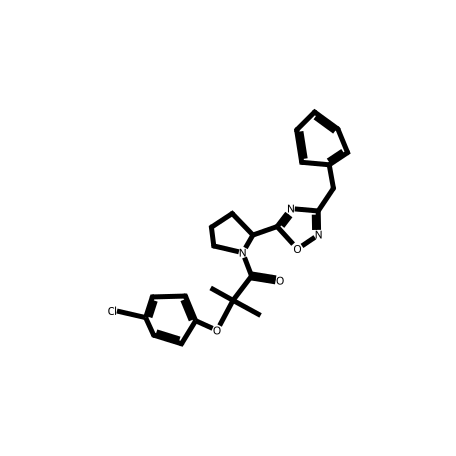 CC(C)(Oc1ccc(Cl)cc1)C(=O)N1CCCC1c1nc(Cc2ccccc2)no1